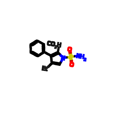 CCc1cn(S(N)(=O)=O)c(C(=O)O)c1-c1ccccc1